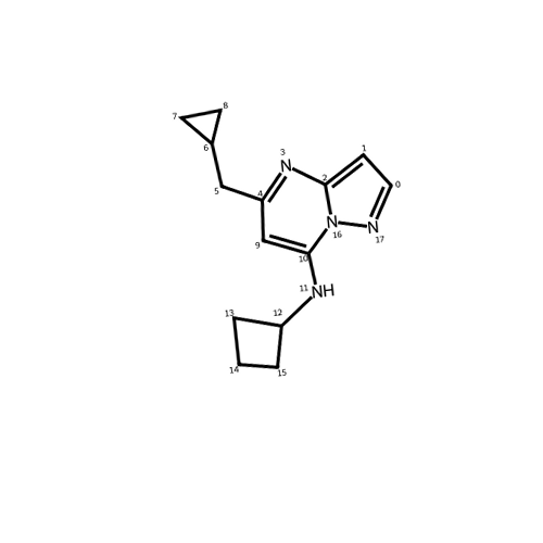 c1cc2nc(CC3CC3)cc(NC3CCC3)n2n1